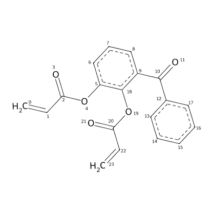 C=CC(=O)Oc1cccc(C(=O)c2ccccc2)c1OC(=O)C=C